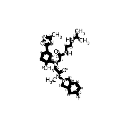 Cc1noc(-c2ccc(C)c(N(CC(=O)NCCNC(C)C)CC(=O)N(C)N3Cc4ccc(F)cc4C3)c2)n1